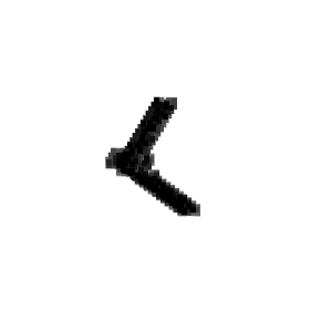 O=C(O)O.O=C(O)O.O=C(O)O.O=C(O)O.[NaH].[NaH].[NaH].[NaH].[NaH].[NaH].[NaH].[NaH].[NaH].[NaH].[NaH].[NaH].[NaH].[NaH].[NaH].[NaH].[NaH].[NaH].[NaH].[NaH].[NaH].[NaH].[NaH]